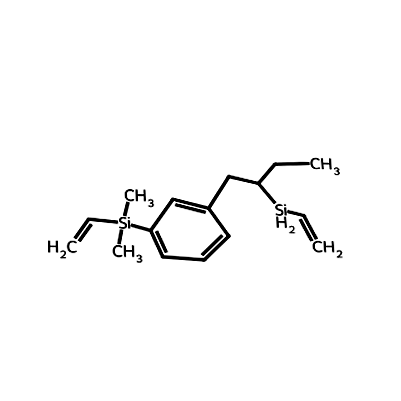 C=C[SiH2]C(CC)Cc1cccc([Si](C)(C)C=C)c1